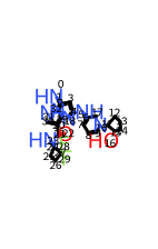 CNc1cc(NC2=CC=CN([C@@H]3CCC[C@@H]3O)C2)nc2c(C(=O)NC3CCC3(F)F)cnn12